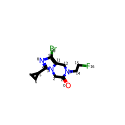 O=C1Cn2c(C3CC3)nc(Br)c2CN1CCF